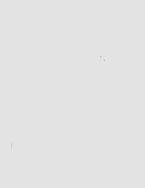 O=C(C=Cc1ccc(F)cc1)N1C[CH]CC1